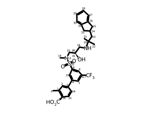 Cc1cc(-c2cc(C(F)(F)F)cc(S(=O)(=O)N(C)C[C@H](O)CNC(C)(C)CC3Cc4ccccc4C3)c2)ccc1C(=O)O